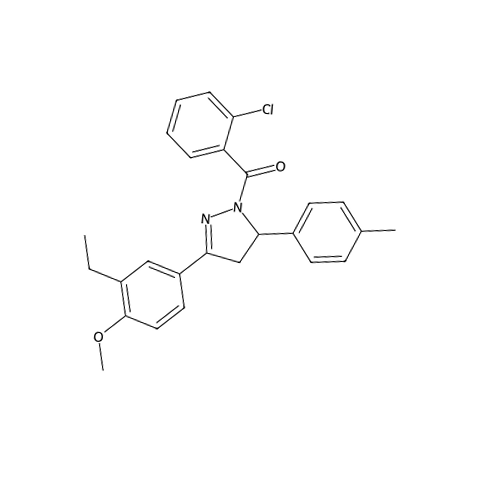 CCc1cc(C2=NN(C(=O)c3ccccc3Cl)C(c3ccc(C)cc3)C2)ccc1OC